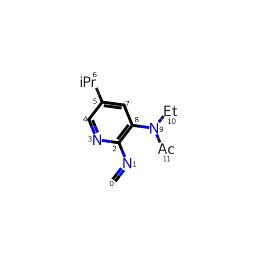 C=Nc1ncc(C(C)C)cc1N(CC)C(C)=O